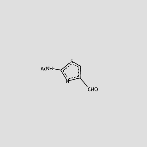 CC(=O)Nc1nc(C=O)cs1